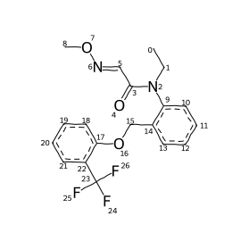 CCN(C(=O)C=NOC)c1ccccc1COc1ccccc1C(F)(F)F